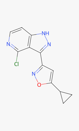 Clc1nccc2[nH]nc(-c3cc(C4CC4)on3)c12